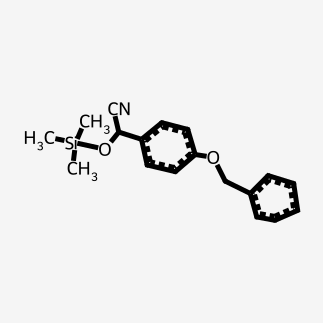 C[Si](C)(C)OC(C#N)c1ccc(OCc2ccccc2)cc1